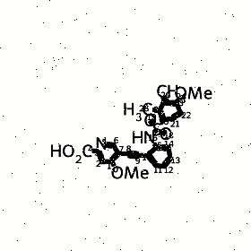 COc1cc(C(=O)O)ncc1C#Cc1ccccc1NS(=O)(=O)c1ccc(OC)c(C)c1C